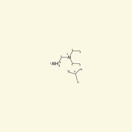 C[CH2][Al]([CH2]C)[CH2]C.[AlH3].[CH2]C(C)C